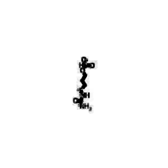 NC(=O)NSCCCO[SH](=O)=O